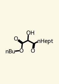 CCCCCCCC(=O)C(O)C(=O)OCCCC